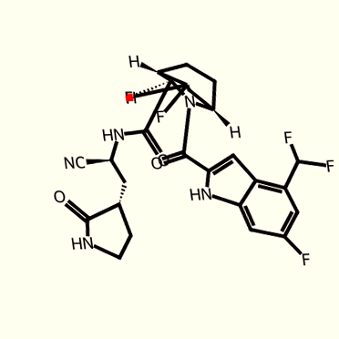 N#C[C@H](C[C@@H]1CCNC1=O)NC(=O)[C@H]1[C@@H]2CC[C@@H](CC2(F)F)N1C(=O)c1cc2c(C(F)F)cc(F)cc2[nH]1